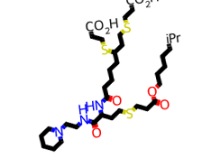 CC(C)CCCCCOC(=O)CCSCCC(NC(=O)CCCCC(CCSCCC(=O)O)SCCC(=O)O)C(=O)NCCN1CCCCC1